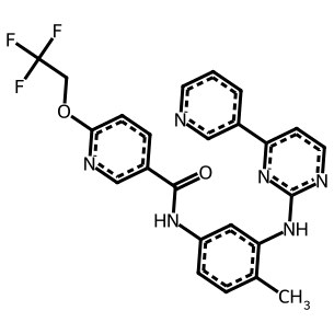 Cc1ccc(NC(=O)c2ccc(OCC(F)(F)F)nc2)cc1Nc1nccc(-c2cccnc2)n1